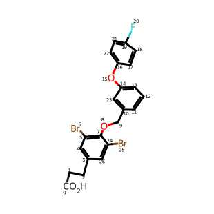 O=C(O)CCc1cc(Br)c(OCc2cccc(Oc3ccc(F)cc3)c2)c(Br)c1